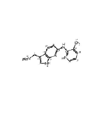 CNCc1c[nH]c2cc(Nc3ncccc3C(F)(F)F)ccc12